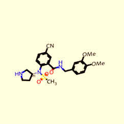 COc1ccc(CNC(=O)c2cc(C#N)ccc2N([C@@H]2CCNC2)S(C)(=O)=O)cc1OC